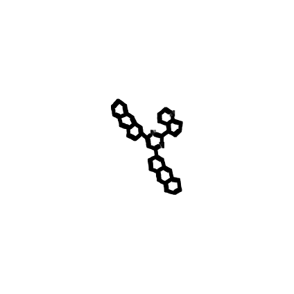 c1ccc2cc3cc(-c4cc(-c5ccc6cc7ccccc7cc6c5)nc(-c5cccc6ncccc56)n4)ccc3cc2c1